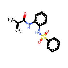 C=C(C)C(=O)Nc1ccccc1NS(=O)(=O)c1ccccc1